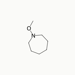 CON1CCCCCC1